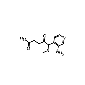 CSC(C(=O)CCC(=O)O)c1ccncc1N